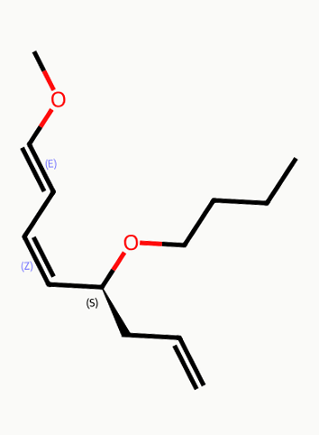 C=CC[C@@H](/C=C\C=C\OC)OCCCC